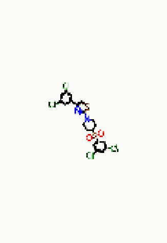 O=S(=O)(c1cc(Cl)cc(Cl)c1)C1CCN(c2nc(-c3cc(Cl)cc(Cl)c3)cs2)CC1